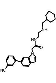 N#Cc1cccc(-c2ccc3ccn(CC(=O)NCCNCC4CCCCC4)c3c2)c1